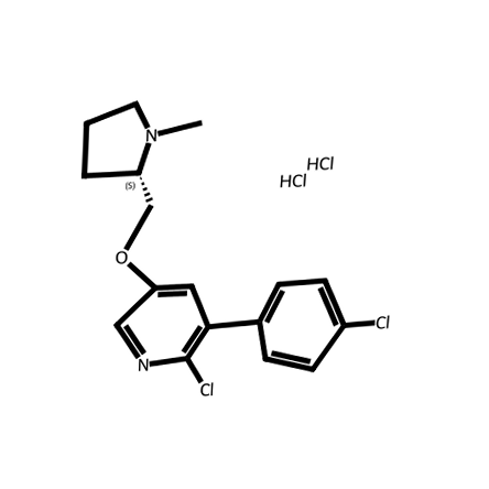 CN1CCC[C@H]1COc1cnc(Cl)c(-c2ccc(Cl)cc2)c1.Cl.Cl